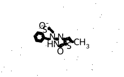 Cc1cc2nc(N3CC[S+]([O-])c4ccccc4C3)[nH]c(=O)c2s1